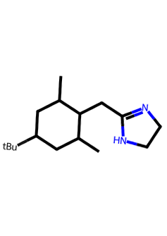 CC1CC(C(C)(C)C)CC(C)C1CC1=NCCN1